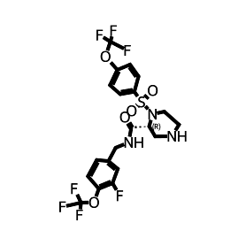 O=C(NCc1ccc(OC(F)(F)F)c(F)c1)[C@H]1CNCCN1S(=O)(=O)c1ccc(OC(F)(F)F)cc1